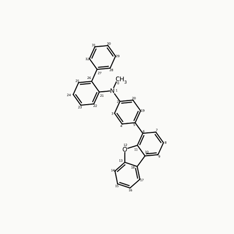 CN(c1ccc(-c2cccc3c2oc2ccccc23)cc1)c1ccccc1-c1ccccc1